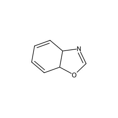 C1=CC2N=COC2C=C1